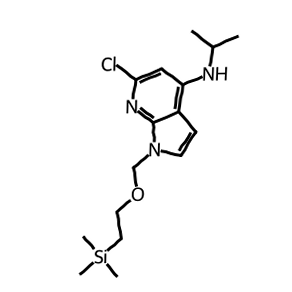 CC(C)Nc1cc(Cl)nc2c1ccn2COCC[Si](C)(C)C